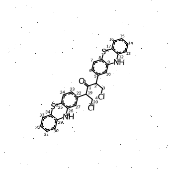 O=C(C(CCl)c1ccc2c(c1)Nc1ccccc1S2)C(CCl)c1ccc2c(c1)Nc1ccccc1S2